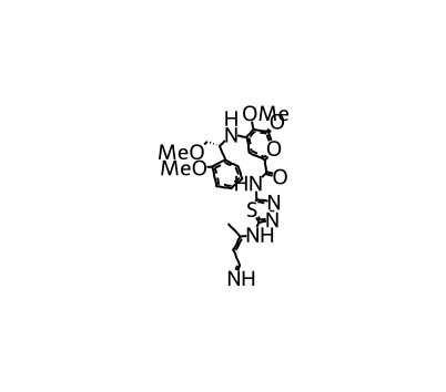 COC[C@H](Nc1cc(C(=O)Nc2nnc(N/C(C)=C\C=N)s2)oc(=O)c1OC)c1ccccc1OC